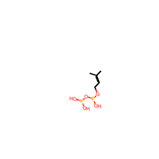 CC(C)=CCOP(O)OP(O)O